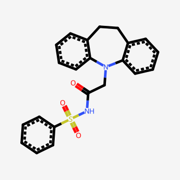 O=C(CN1c2ccccc2CCc2ccccc21)NS(=O)(=O)c1ccccc1